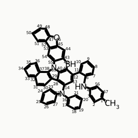 Cc1ccc(Nc2ccccc2-c2cc(N(c3ccccc3)c3ccccc3)c3c4ccc5ccccc5c4n4c3c2Bc2cc3oc5ccccc5c3cc2-4)cc1